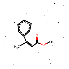 COC(=O)/C=C(/C)c1ccccc1